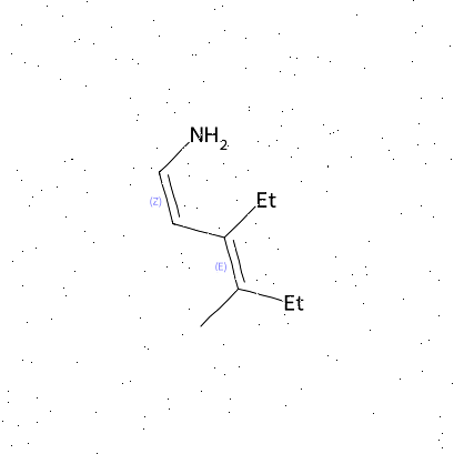 CC/C(C)=C(/C=C\N)CC